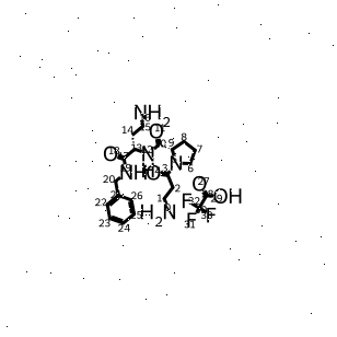 NCCC(=O)N1CCC[C@H]1C(=O)N[C@@H](CCN)C(=O)NCc1ccccc1.O=C(O)C(F)(F)F